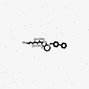 CO[C@@H](C(=O)NC1CCCCN(Cc2ccc(-c3ccccc3)cc2)C1=O)[C@H](O)[C@@H](O)[C@H](O)/C=C/C(C)(C)C